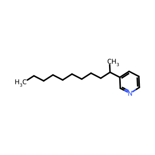 CCCCCCCCCC(C)c1cccnc1